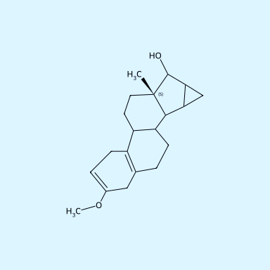 COC1=CCC2=C(CCC3C2CC[C@]2(C)C(O)C4CC4C32)C1